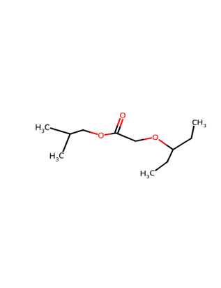 CCC(CC)OCC(=O)OCC(C)C